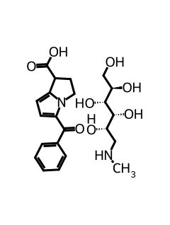 CNC[C@H](O)[C@@H](O)[C@H](O)[C@H](O)CO.O=C(c1ccccc1)c1ccc2n1CCC2C(=O)O